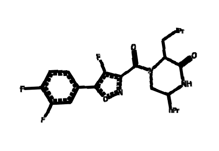 CCCC1CN(C(=O)c2noc(-c3ccc(F)c(F)c3)c2F)C(CC(C)C)C(=O)N1